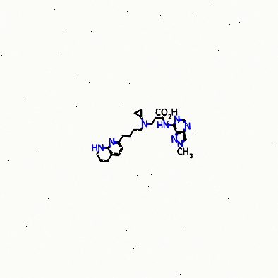 Cn1cc2ncnc(NC(CCN(CCCCc3ccc4c(n3)NCCC4)C3CC3)C(=O)O)c2n1